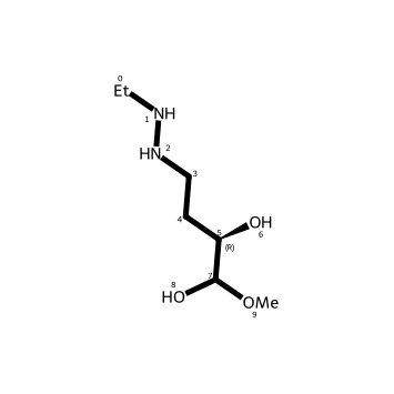 CCNNCC[C@@H](O)C(O)OC